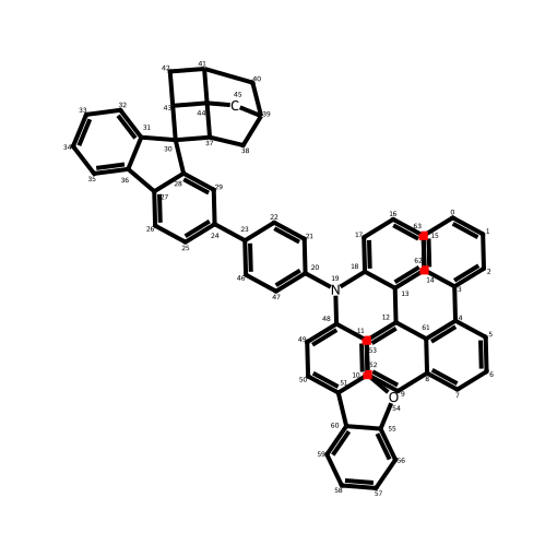 c1ccc(-c2cccc3cccc(-c4ccccc4N(c4ccc(-c5ccc6c(c5)C5(c7ccccc7-6)C6CC7CC8CC5C86C7)cc4)c4ccc5c(c4)oc4ccccc45)c23)cc1